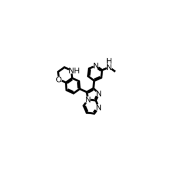 CNc1cc(-c2nc3ncccn3c2-c2ccc3c(c2)NCCO3)ccn1